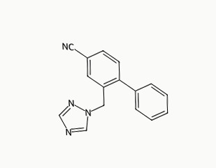 N#Cc1ccc(-c2ccccc2)c(Cn2cncn2)c1